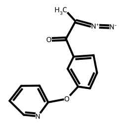 CC(=[N+]=[N-])C(=O)c1cccc(Oc2ccccn2)c1